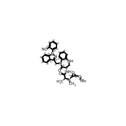 C[C@@H](C(=O)N[C@H]1CNc2ccccc2N(Cc2nn(-c3ccccc3C#N)c3ccccc23)C1=O)N(C)C1OC1OC(C)(C)C